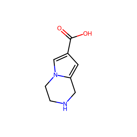 O=C(O)c1cc2n(c1)CCNC2